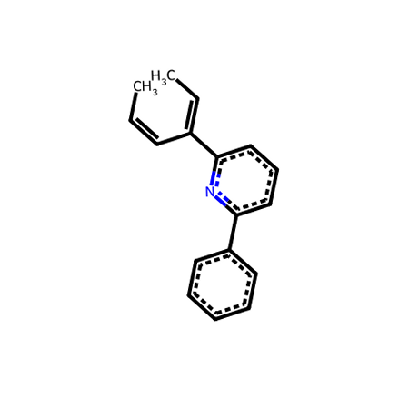 C/C=C\C(=C/C)c1cccc(-c2ccccc2)n1